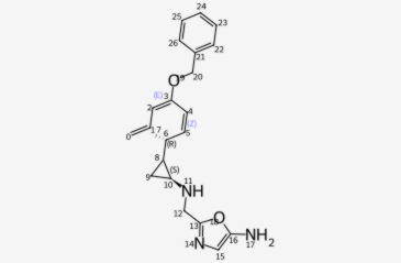 C=C/C=C(\C=C/[C@@H](C)C1C[C@@H]1NCc1ncc(N)o1)OCc1ccccc1